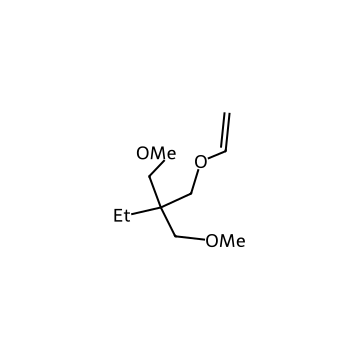 C=COCC(CC)(COC)COC